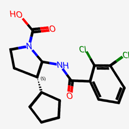 O=C(NC1[C@H](C2CCCC2)CCN1C(=O)O)c1cccc(Cl)c1Cl